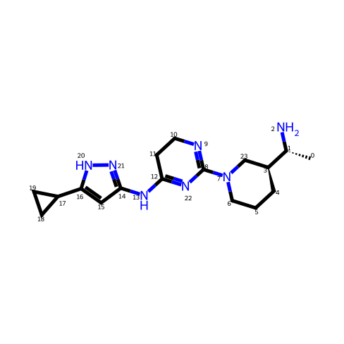 C[C@@H](N)[C@H]1CCCN(C2=NCCC(Nc3cc(C4CC4)[nH]n3)=N2)C1